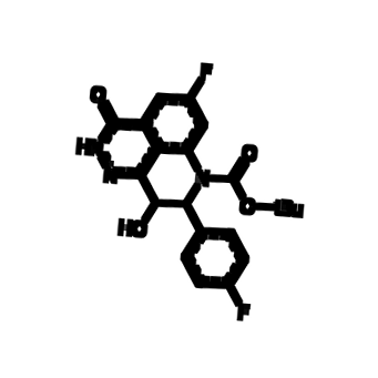 CC(C)(C)OC(=O)N1c2cc(F)cc3c(=O)[nH]nc(c23)C(O)C1c1ccc(F)cc1